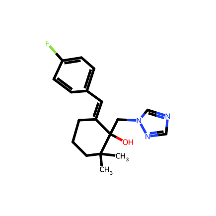 CC1(C)CCCC(=Cc2ccc(F)cc2)C1(O)Cn1cncn1